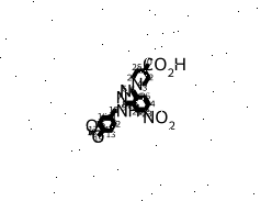 O=C(O)C1CCN(c2nnc(NCc3ccc4c(c3)OCO4)c3cc([N+](=O)[O-])ccc23)CC1